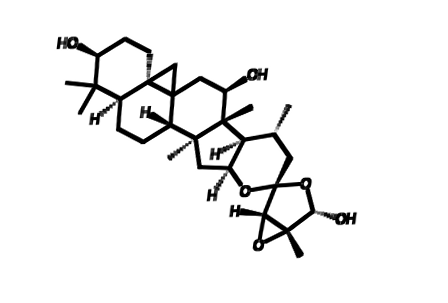 C[C@@H]1C[C@@]2(O[C@H]3C[C@@]4(C)[C@@H]5CC[C@H]6C(C)(C)[C@@H](O)CC[C@@]67CC57C[C@@H](O)[C@]4(C)[C@@H]13)O[C@H](O)[C@]1(C)O[C@H]21